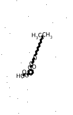 CC(C)CCCCCCCCCCOCCOC(=O)OC1CCCC(OC(=O)O)C1